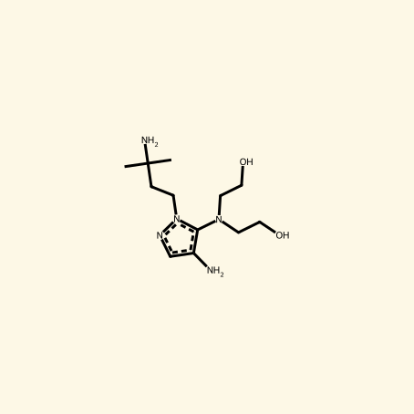 CC(C)(N)CCn1ncc(N)c1N(CCO)CCO